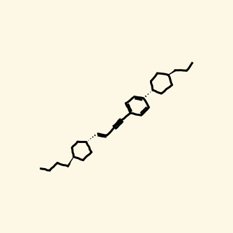 CCCC[C@H]1CC[C@H](C=CC#Cc2ccc([C@H]3CC[C@H](CCC)CC3)cc2)CC1